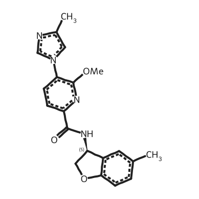 COc1nc(C(=O)N[C@@H]2COc3ccc(C)cc32)ccc1-n1cnc(C)c1